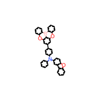 c1ccc(N(c2ccc(-c3cc4c5c(c3)Oc3ccccc3B5c3ccccc3O4)cc2)c2ccc3oc4ccccc4c3c2)cc1